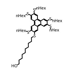 CCCCCCSc1cc2c3cc(SCCCCCC)c(SCCCCCC)cc3c3cc(SCCCCCCCCCCO)c(SCCCCCC)cc3c2cc1SCCCCCC